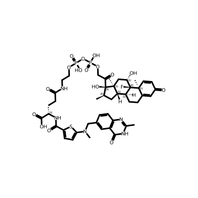 Cc1nc2ccc(CN(C)c3ccc(C(=O)N[C@@H](CCC(=O)NCCOP(=O)(O)OP(=O)(O)OCC(=O)[C@@]4(O)[C@H](C)C[C@H]5[C@@H]6CCC7=CC(=O)C=C[C@]7(C)[C@@]6(F)[C@@H](O)C[C@@]54C)C(=O)O)s3)cc2c(=O)[nH]1